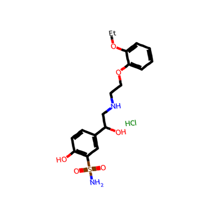 CCOc1ccccc1OCCNCC(O)c1ccc(O)c(S(N)(=O)=O)c1.Cl